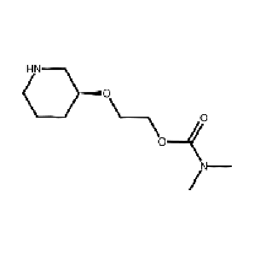 CN(C)C(=O)OCCO[C@H]1CCCNC1